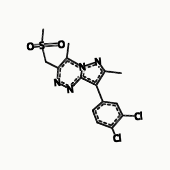 Cc1nn2c(C)c(CS(C)(=O)=O)nnc2c1-c1ccc(Cl)c(Cl)c1